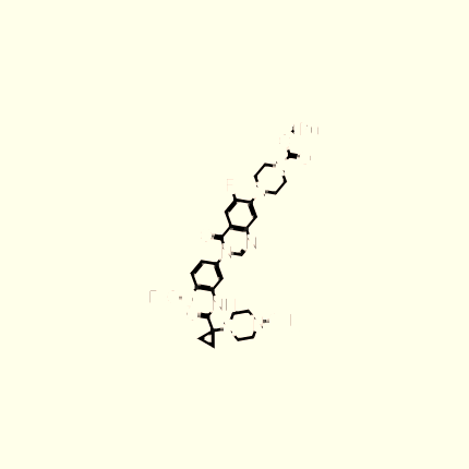 CN1CCN(C2(C(=O)Nc3cc(-n4cnc5cc(N6CCN(C(=O)OC(C)(C)C)CC6)c(F)cc5c4=O)ccc3OC(F)(F)F)CC2)CC1